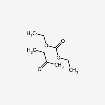 CCC(C)=O.CCOC(=O)OCC